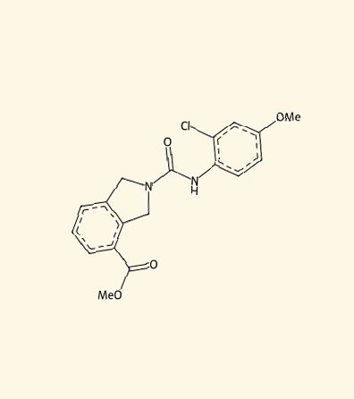 COC(=O)c1cccc2c1CN(C(=O)Nc1ccc(OC)cc1Cl)C2